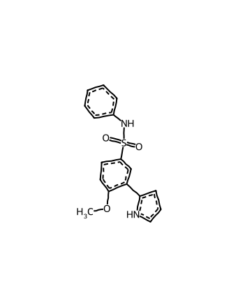 COc1ccc(S(=O)(=O)Nc2ccccc2)cc1-c1ccc[nH]1